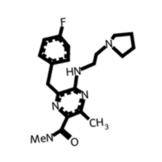 CNC(=O)c1nc(Cc2ccc(F)cc2)c(NCCN2CCCC2)nc1C